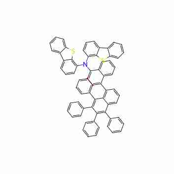 c1ccc(-c2c(-c3ccccc3)c(-c3ccccc3)c3c(-c4ccc(N(c5cccc6c5sc5ccccc56)c5cccc6c5sc5ccccc56)c5ccccc45)cccc3c2-c2ccccc2)cc1